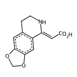 O=C(O)C=C1NCCc2cc3c(cc21)OCO3